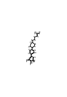 FC(F)=CCCCC1CCC(c2ccc(-c3cc(F)c(F)c(F)c3)cc2)CC1